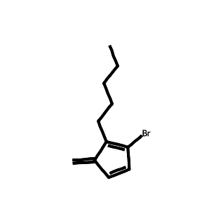 C=C1C=CC(Br)=C1CCCCC